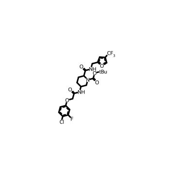 CC(C)(C)OC(=O)N1CC(NC(=O)COc2ccc(Cl)c(F)c2)CCC1C(=O)NCc1cc(C(F)(F)F)co1